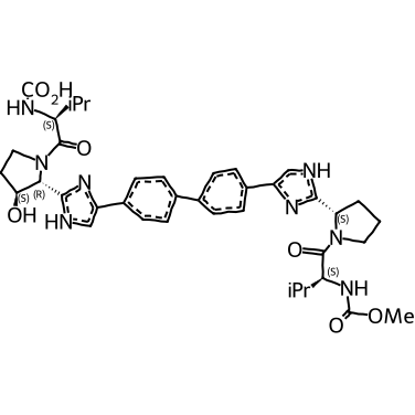 COC(=O)N[C@H](C(=O)N1CCC[C@H]1c1nc(-c2ccc(-c3ccc(-c4c[nH]c([C@@H]5[C@@H](O)CCN5C(=O)[C@@H](NC(=O)O)C(C)C)n4)cc3)cc2)c[nH]1)C(C)C